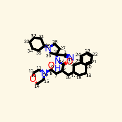 N#CC1(NC(=O)C(CC(=O)N2CCOCC2)CC2CCc3ccccc3C2)CCN(C2CCCCC2)C1